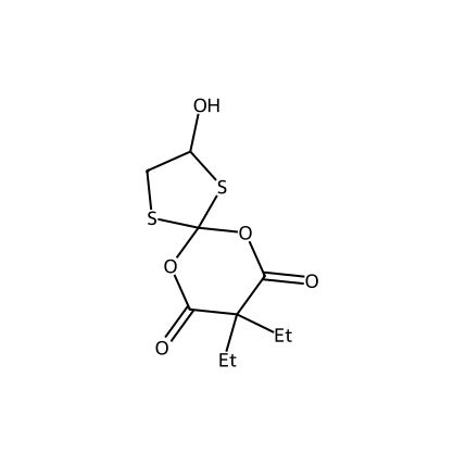 CCC1(CC)C(=O)OC2(OC1=O)SCC(O)S2